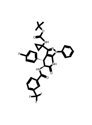 CC(C)(C)OC(=O)NC1(c2nn(-c3ccccc3)c3c2[C@@H](c2ccc(F)cc2)[C@H](NC(=O)c2cccc(C(F)(F)F)c2)C(=O)N3)CC1